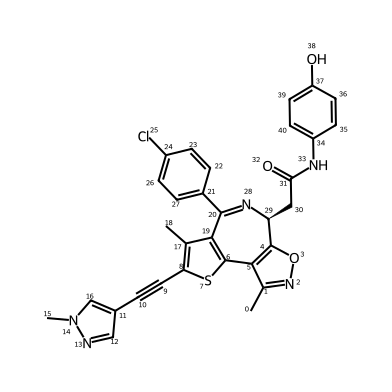 Cc1noc2c1-c1sc(C#Cc3cnn(C)c3)c(C)c1C(c1ccc(Cl)cc1)=N[C@H]2CC(=O)Nc1ccc(O)cc1